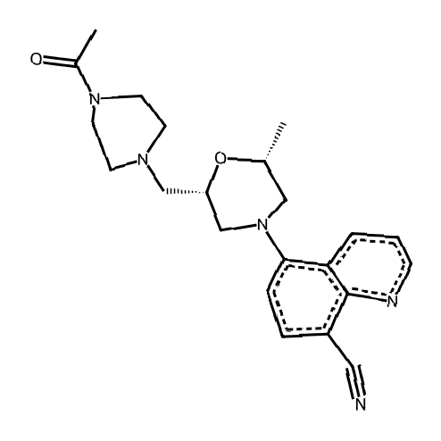 CC(=O)N1CCN(C[C@H]2CN(c3ccc(C#N)c4ncccc34)C[C@@H](C)O2)CC1